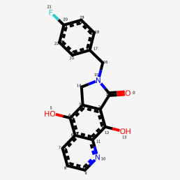 O=C1c2c(c(O)c3cccnc3c2O)CN1Cc1ccc(F)cc1